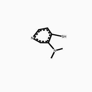 CN(C)c1cnccc1S